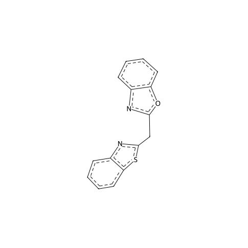 c1ccc2oc(Cc3nc4ccccc4s3)nc2c1